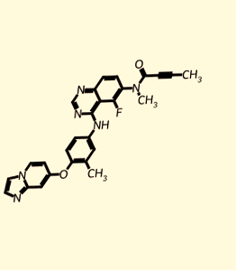 CC#CC(=O)N(C)c1ccc2ncnc(Nc3ccc(Oc4ccn5ccnc5c4)c(C)c3)c2c1F